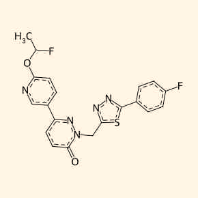 CC(F)Oc1ccc(-c2ccc(=O)n(Cc3nnc(-c4ccc(F)cc4)s3)n2)cn1